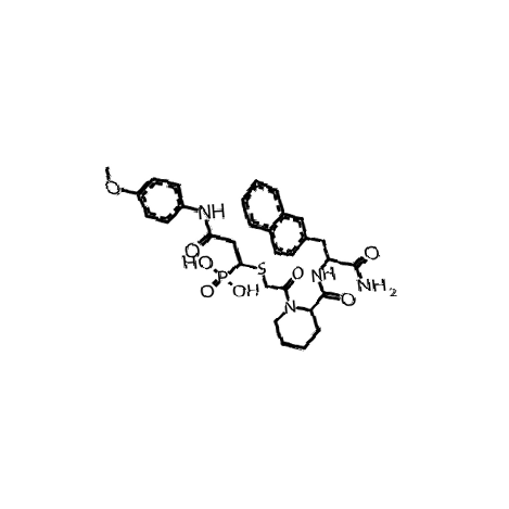 COc1ccc(NC(=O)CC(SCC(=O)N2CCCCC2C(=O)NC(Cc2ccc3ccccc3c2)C(N)=O)P(=O)(O)O)cc1